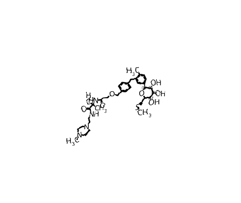 CS#CC1O[C@@H](c2ccc(C)c(Cc3ccc(COCCC(=O)NC(C)(C)C(=O)NCCN4CCN(C)CC4)cc3)c2)[C@H](O)[C@@H](O)[C@@H]1O